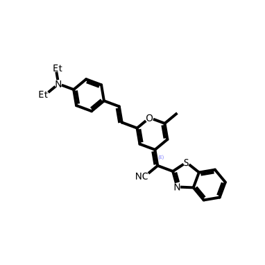 CCN(CC)c1ccc(C=CC2=C/C(=C(\C#N)c3nc4ccccc4s3)C=C(C)O2)cc1